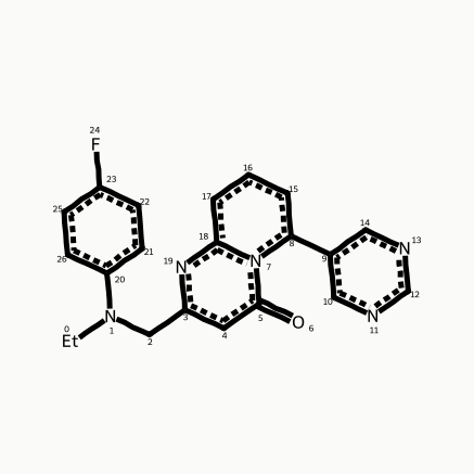 CCN(Cc1cc(=O)n2c(-c3cncnc3)cccc2n1)c1ccc(F)cc1